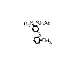 CC(=O)Nc1cc(Sc2ccccc2C)ccc1N